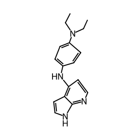 CCN(CC)c1ccc(Nc2ccnc3[nH]ccc23)cc1